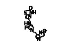 COc1ccc2nccc(CCN3CC[C@H](NCc4ccc5c(n4)NC(=O)CS5)[C@H](F)C3)c2n1